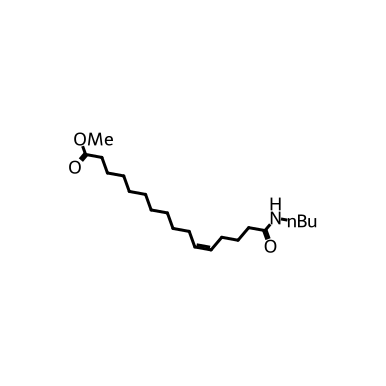 CCCCNC(=O)CCC/C=C\CCCCCCCCCC(=O)OC